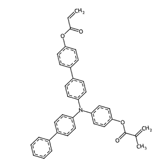 C=CC(=O)Oc1ccc(-c2ccc(N(c3ccc(OC(=O)C(=C)C)cc3)c3ccc(-c4ccccc4)cc3)cc2)cc1